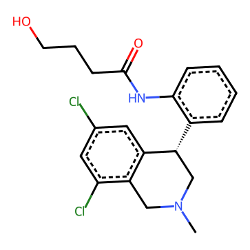 CN1Cc2c(Cl)cc(Cl)cc2[C@H](c2ccccc2NC(=O)CCCO)C1